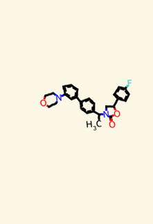 CC(c1ccc(-c2cccc(N3CCOCC3)c2)cc1)N1CC(c2ccc(F)cc2)OC1=O